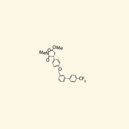 CNC(=O)[C@@H](CC(=O)OC)c1ccc(OCc2cccc(-c3ccc(C(F)(F)F)cc3)c2)cc1